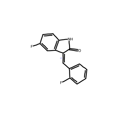 O=C1Nc2ccc(F)cc2/C1=C/c1ccccc1F